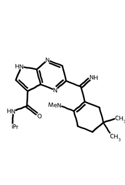 CNC1=C(C(=N)c2cnc3[nH]cc(C(=O)NC(C)C)c3n2)CC(C)(C)CC1